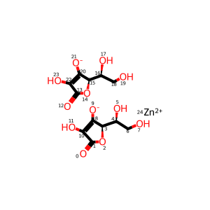 O=C1O[C@H]([C@@H](O)CO)C([O-])=C1O.O=C1O[C@H]([C@@H](O)CO)C([O-])=C1O.[Zn+2]